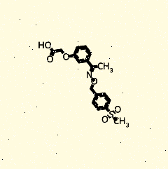 C/C(=N\OCc1ccc(S(C)(=O)=O)cc1)c1cccc(OCC(=O)O)c1